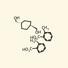 Cc1ccccc1C(=O)O.Cc1ccccc1C(=O)O.OC[C@H]1CC[C@H](CO)CC1